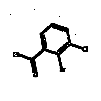 CCC(=O)c1cccc(Cl)c1Br